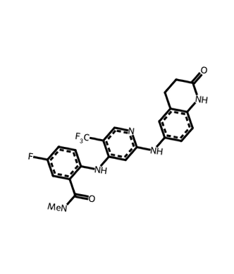 CNC(=O)c1cc(F)ccc1Nc1cc(Nc2ccc3c(c2)CCC(=O)N3)ncc1C(F)(F)F